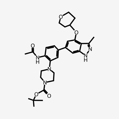 CC(=O)Nc1ccc(-c2cc(OC3CCOCC3)c3c(C)n[nH]c3c2)cc1N1CCN(C(=O)OC(C)(C)C)CC1